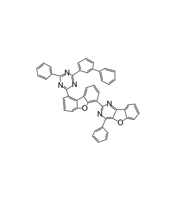 c1ccc(-c2cccc(-c3nc(-c4ccccc4)nc(-c4cccc5oc6c(-c7nc(-c8ccccc8)c8oc9ccccc9c8n7)cccc6c45)n3)c2)cc1